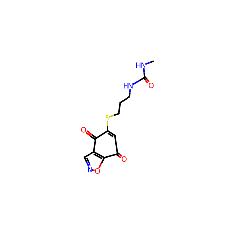 CNC(=O)NCCCSC1=CC(=O)c2oncc2C1=O